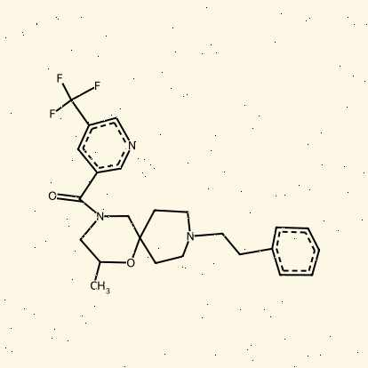 CC1CN(C(=O)c2cncc(C(F)(F)F)c2)CC2(CCN(CCc3ccccc3)CC2)O1